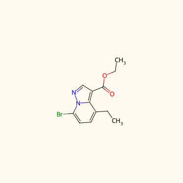 CCOC(=O)c1cnn2c(Br)ccc(CC)c12